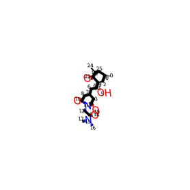 C[C@@H]1C[C@@H]([C@H](O)CC2CC(=O)N(CC(=O)N(C)C)C(=O)C2)C(=O)[C@@H](C)C1